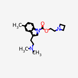 Cc1ccc2c(c1)c(CCN(C)C)cn2C(=O)OCCN1CCC1